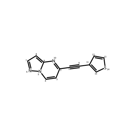 C(#Cc1ccn2nccc2n1)c1ccsc1